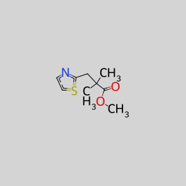 COC(=O)C(C)(C)Cc1nccs1